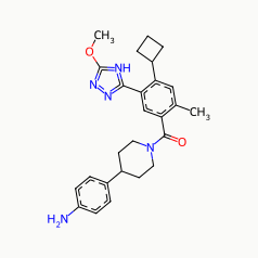 COc1nnc(-c2cc(C(=O)N3CCC(c4ccc(N)cc4)CC3)c(C)cc2C2CCC2)[nH]1